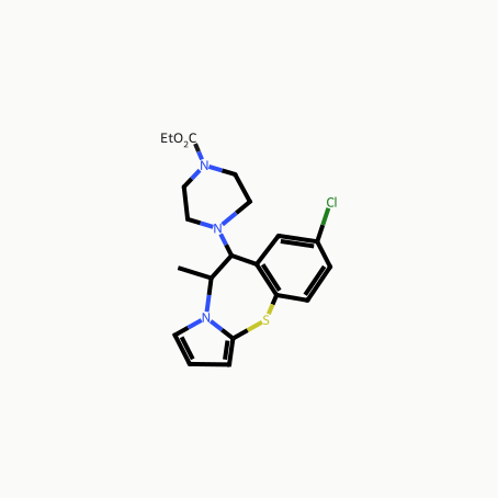 CCOC(=O)N1CCN(C2c3cc(Cl)ccc3Sc3cccn3C2C)CC1